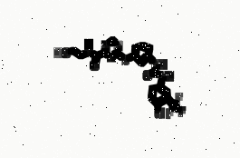 O=C(Nc1cccc(Sc2ncnc(C(=O)NCCO)n2)c1)Nc1ccc(Cl)c(C(F)(F)F)c1